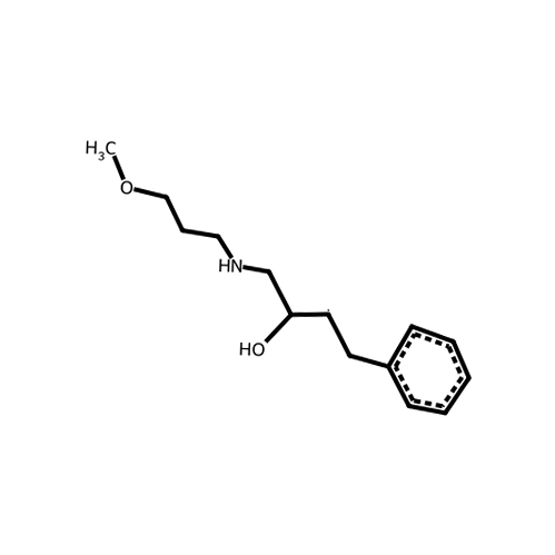 COCCCNCC(O)[CH]Cc1ccccc1